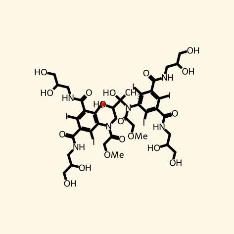 COCC(=O)N(CC(O)C(C)(O)N(C(=O)COC)c1c(I)c(C(=O)NCC(O)CO)c(I)c(C(=O)NCC(O)CO)c1I)c1c(I)c(C(=O)NCC(O)CO)c(I)c(C(=O)NCC(O)CO)c1I